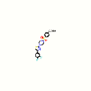 COc1ccc(S(=O)(=O)N2CCN(c3nc(-c4ccc(F)c(F)c4)cs3)CC2)cc1